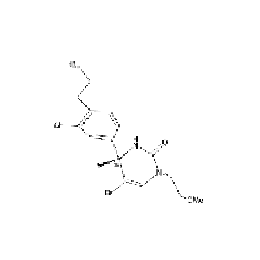 COCCN1C=C(Br)[C@](C)(c2ccc(CCC(C)(C)C)c(Cl)c2)NC1=O